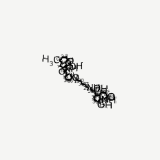 Cc1cccc2c1CCC2(NC(=O)c1cccc(OCCCCCNC[C@H](O)c2ccc(O)c3[nH]c(=O)ccc23)c1)C(=O)O